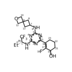 CC[C@@H](Nc1nc(NC2CC3(COC3)C2)nc(C2=C(F)C(O)CCC2)n1)C(F)(F)F